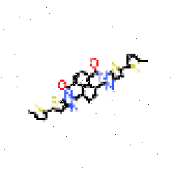 Cc1ccc(-c2cc3nc4c5ccc6c7c(ccc(c(=O)n4c3s2)c57)c(=O)n2c6nc3cc(-c4ccc(C)s4)sc32)s1